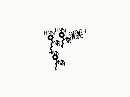 CCCCC(c1ccc2[nH]cnc2c1)n1ccnc1.CCCCC(c1ccc2[nH]cnc2c1)n1ccnc1.CCCCC(c1ccc2[nH]cnc2c1)n1ccnc1.O=C(O)C(=O)O.O=C(O)C(=O)O